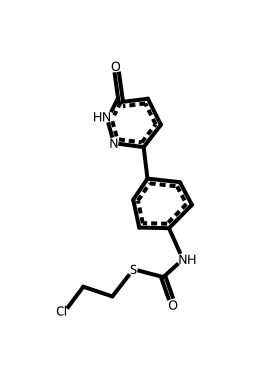 O=C(Nc1ccc(-c2ccc(=O)[nH]n2)cc1)SCCCl